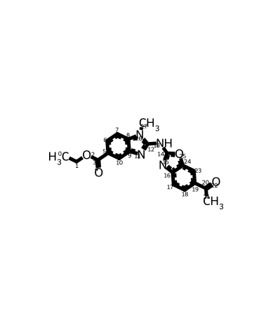 CCOC(=O)c1ccc2c(c1)nc(Nc1nc3ccc(C(C)=O)cc3o1)n2C